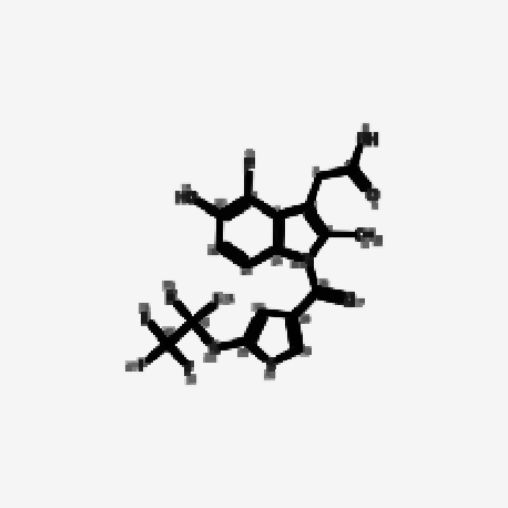 Cc1c(CC(=O)O)c2c(F)c(O)ccc2n1C(=O)c1csc(SC(F)(F)C(F)(F)F)c1